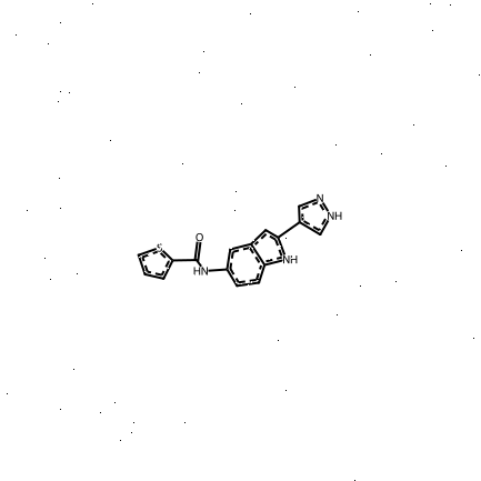 O=C(Nc1ccc2[nH]c(-c3cn[nH]c3)cc2c1)c1cccs1